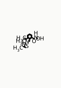 Cc1csc(N2Cc3c(C(=O)NO)cccc3C2(C)C)n1